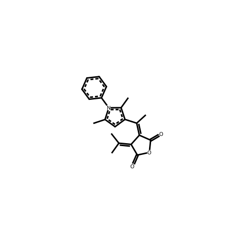 CC(C)=C1C(=O)OC(=O)/C1=C(\C)c1cc(C)n(-c2ccccc2)c1C